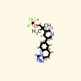 CC(C)(COC(F)(F)F)c1cncc(-c2ccc3c(c2)CCc2nncn2-3)c1